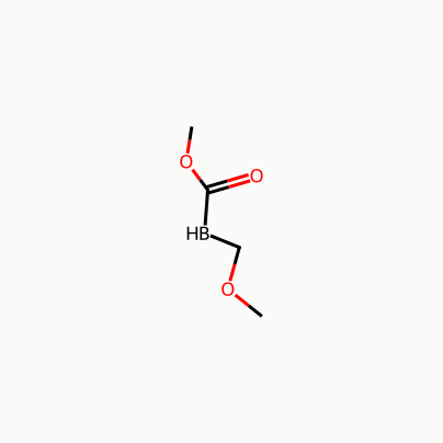 COCBC(=O)OC